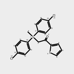 CS(CC(=O)c1cccs1)(c1ccc(Cl)cc1)c1ccc(Cl)cc1